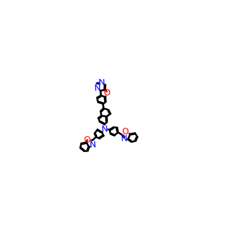 c1ccc2oc(-c3ccc(N(c4ccc(-c5nc6ccccc6o5)cc4)c4ccc5cc(-c6ccc7c(c6)oc6cncnc67)ccc5c4)cc3)nc2c1